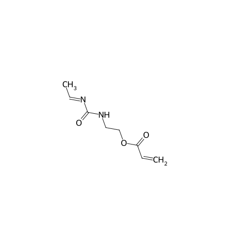 C=CC(=O)OCCNC(=O)N=CC